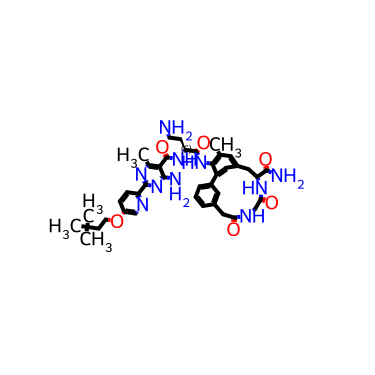 Cc1cc2cc(c1NC(=O)[C@H](CCN)NC(=O)c1c(C)nc(-c3ccc(OCCC(C)(C)C)cn3)nc1N)-c1cccc(c1)CC(=O)NCC(=O)NC(C(N)=O)C2